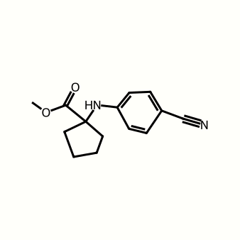 COC(=O)C1(Nc2ccc(C#N)cc2)CCCC1